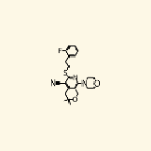 CC1(C)Cc2c(C#N)c(SCCc3ccccc3F)nc(N3CCOCC3)c2CO1